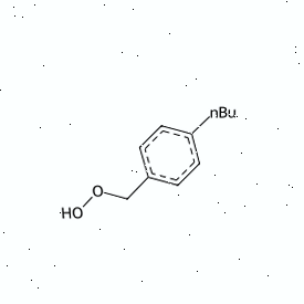 CCCCc1ccc(COO)cc1